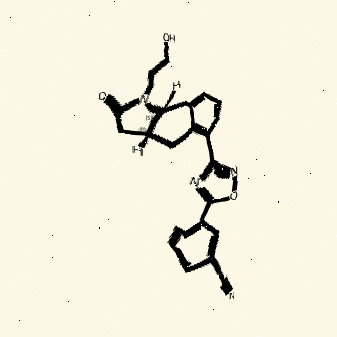 N#Cc1cccc(-c2nc(-c3cccc4c3C[C@@H]3CC(=O)N(CCO)[C@H]43)no2)c1